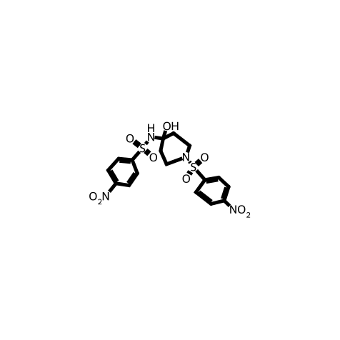 O=[N+]([O-])c1ccc(S(=O)(=O)NC2(O)CCN(S(=O)(=O)c3ccc([N+](=O)[O-])cc3)CC2)cc1